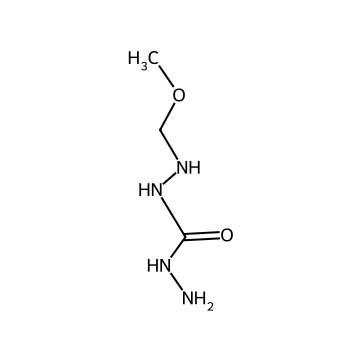 COCNNC(=O)NN